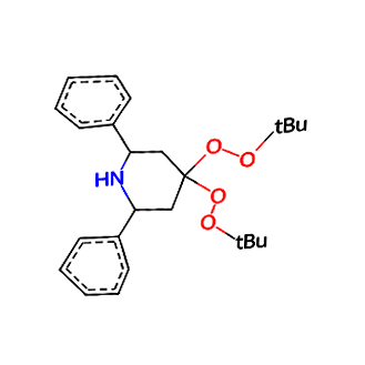 CC(C)(C)OOC1(OOC(C)(C)C)CC(c2ccccc2)NC(c2ccccc2)C1